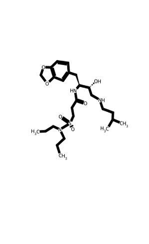 CCCN(CCC)S(=O)(=O)CCC(=O)N[C@@H](Cc1ccc2c(c1)OCO2)[C@H](O)CNCCC(C)C